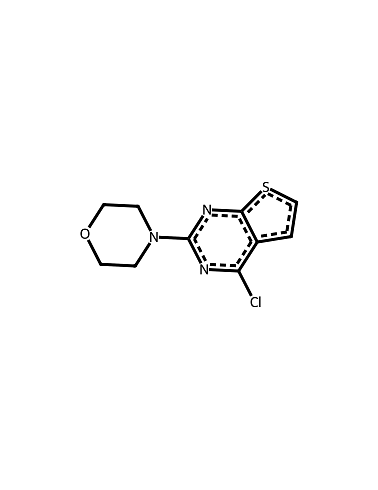 Clc1nc(N2CCOCC2)nc2sccc12